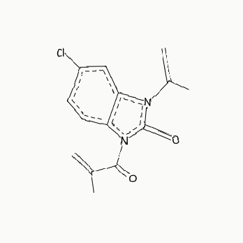 C=C(C)C(=O)n1c(=O)n(C(=C)C)c2cc(Cl)ccc21